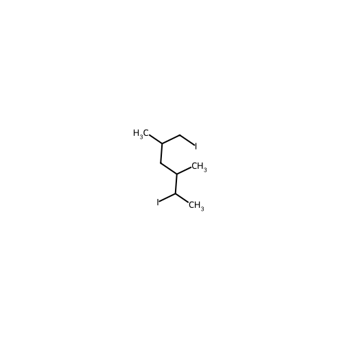 CC(CI)CC(C)C(C)I